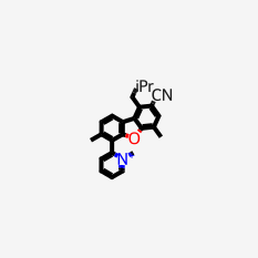 Cc1ccc2c(oc3c(C)cc(C#N)c(CC(C)C)c32)c1-c1cccc[n+]1C